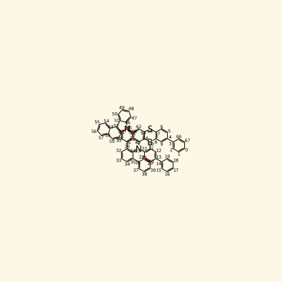 c1ccc(-c2ccc3c(c2)B2c4cc(-c5ccccc5)ccc4N(c4c(-c5ccccc5)cccc4-c4ccccc4)c4cc(-n5c6ccccc6c6c7ccccc7ccc65)cc(c42)S3)cc1